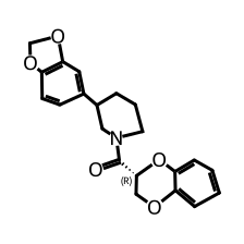 O=C([C@H]1COc2ccccc2O1)N1CCCC(c2ccc3c(c2)OCO3)C1